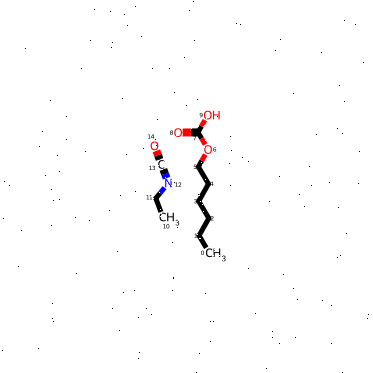 CCCCCCOC(=O)O.CCN=C=O